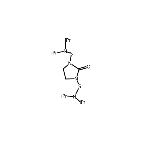 CC(C)N(SN1CCN(SN(C(C)C)C(C)C)C1=O)C(C)C